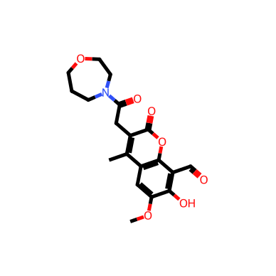 COc1cc2c(C)c(CC(=O)N3CCCOCC3)c(=O)oc2c(C=O)c1O